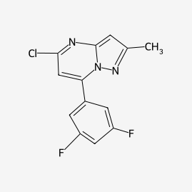 Cc1cc2nc(Cl)cc(-c3cc(F)cc(F)c3)n2n1